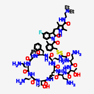 CCN(CC)CCNC(=O)c1c(C)[nH]c(/C=C2\C(=O)N(C(=O)c3c(C)cccc3CSSCC(=O)N[C@@H](CCN)C(=O)N[C@H](C(=O)N[C@@H](CCN)C(=O)N[C@H]3CCNC(=O)[C@H]([C@@H](C)O)NC(=O)[C@H](CCN)NC(=O)[C@H](CCN)NC(=O)[C@H](CC(C)C)NC(=O)[C@@H](Cc4ccccc4)NC(=O)[C@H](CCN)NC3=O)[C@@H](C)O)c3ccc(F)cc32)c1C